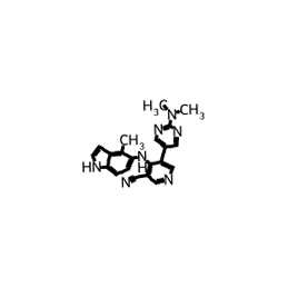 Cc1c(Nc2c(C#N)cncc2-c2cnc(N(C)C)nc2)ccc2[nH]ccc12